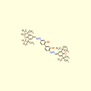 CC(C)(C)C1=CC(=C/N=N/c2ccc(-c3ccc(/N=N/C=C4C=C(C(C)(C)C)C(=O)C(C(C)(C)C)=C4)c(Br)c3)c(Br)c2)C=C(C(C)(C)C)C1=O